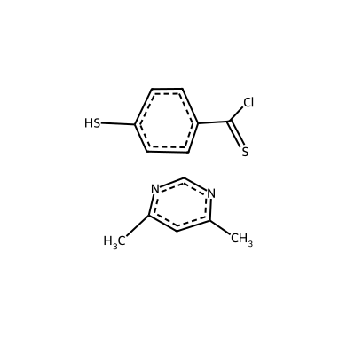 Cc1cc(C)ncn1.S=C(Cl)c1ccc(S)cc1